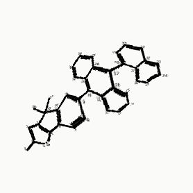 Cc1cc2c(s1)-c1ccc(-c3c4ccccc4c(-c4cccc5ccccc45)c4ccccc34)cc1C2(C)C